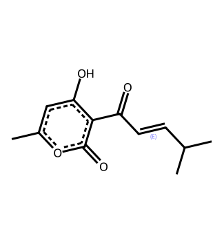 Cc1cc(O)c(C(=O)/C=C/C(C)C)c(=O)o1